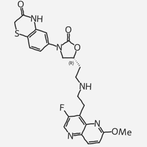 COc1ccc2ncc(F)c(CCNCC[C@@H]3CN(c4ccc5c(c4)NC(=O)CS5)C(=O)O3)c2n1